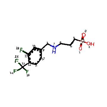 O=S(=O)(O)CCCNCc1ccc(C(F)(F)F)c(F)c1